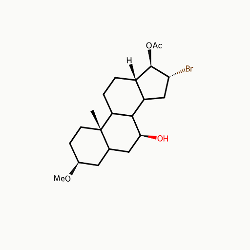 CO[C@H]1CC[C@@]2(C)C(C1)C[C@H](O)C1C3C[C@@H](Br)[C@H](OC(C)=O)[C@H]3CCC12